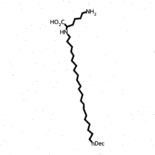 CCCCCCCCCCCCCCCCCCCCCCCCCCCCCCCCNC(CCCCN)C(=O)O